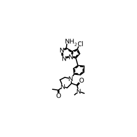 CC(=O)N1CCN(c2cccc(-c3cc(Cl)c4c(N)ncnn34)c2)C(C(=O)N(C)C)C1